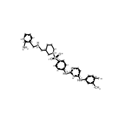 Cc1cc(Nc2ccnc(Nc3ccc(S(=O)(=O)N4CCCC(CNCc5cccnc5N)C4)cc3)n2)ccc1F